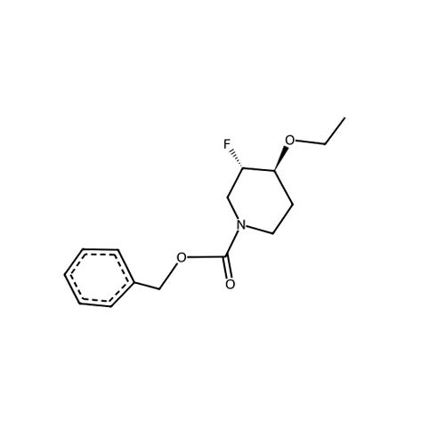 CCO[C@H]1CCN(C(=O)OCc2ccccc2)C[C@@H]1F